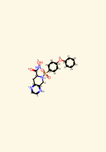 O=C(NO)C1Cc2nccnc2CN1S(=O)(=O)c1ccc(Oc2ccccc2)cc1